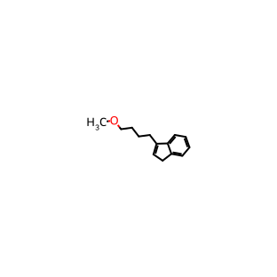 COCCCCC1=CCc2ccccc21